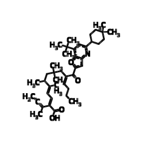 C=C=C(C)/C(=C\C=C(/C)C(C)CC(C)(C)C/C(=C/CCC)C(=O)c1cc2nc(C3CCC(C)(C)CC3)cc(C(C)(C)C)c2o1)C(=O)O